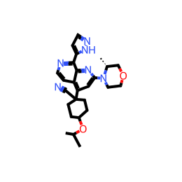 CC(C)OC1CCC(C#N)(c2cc(N3CCOC[C@H]3C)nc3c(-c4ccn[nH]4)nccc23)CC1